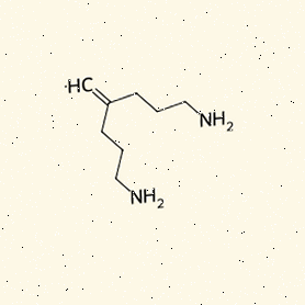 [CH]=C(CCCN)CCCN